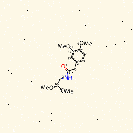 COc1ccc(CC(=O)NCC(OC)OC)cc1OC